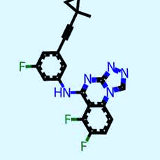 CC1(C#Cc2cc(F)cc(Nc3nc4nncn4c4ccc(F)c(F)c34)c2)CC1